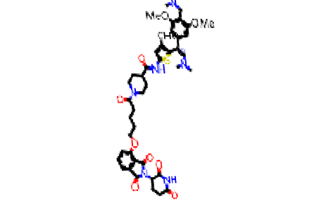 COc1cc(/C(=C/N(C)C)c2sc(NC(=O)C3CCN(C(=O)CCCCOc4cccc5c4C(=O)N(C4CCC(=O)NC4=O)C5=O)CC3)cc2C=O)cc(OC)c1CN(C)C